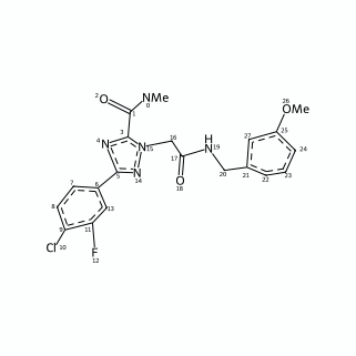 CNC(=O)c1nc(-c2ccc(Cl)c(F)c2)nn1CC(=O)NCc1cccc(OC)c1